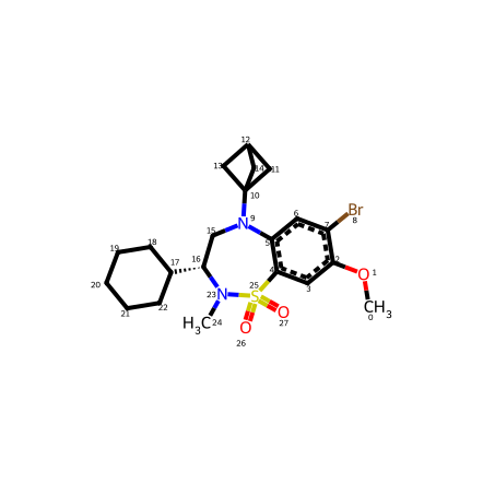 COc1cc2c(cc1Br)N(C13CC(C1)C3)C[C@@H](C1CCCCC1)N(C)S2(=O)=O